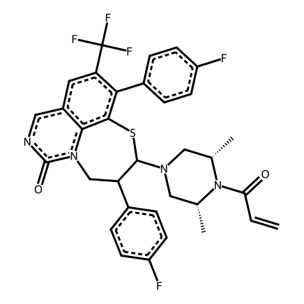 C=CC(=O)N1[C@H](C)CN(C2Sc3c(-c4ccc(F)cc4)c(C(F)(F)F)cc4cnc(=O)n(c34)CC2c2ccc(F)cc2)C[C@@H]1C